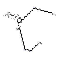 CCCCC/C=C\C/C=C\CCCCCCCCCC(=O)OC[C@H](COP(=O)([O-])OCC[N+](C)(C)C)OC(=O)CCCCCCC/C=C\CCCCCCCCC